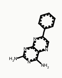 Nc1nc(N)c2ncc(-c3ccccc3)nc2n1